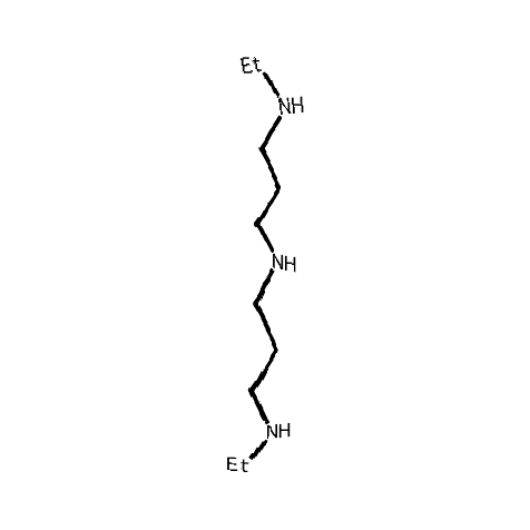 CCNCCCNCCCNCC